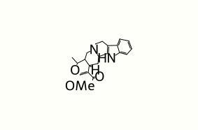 COC(=O)C1=COC(C)C2CN3CCc4c([nH]c5ccccc45)C3C[C@H]12